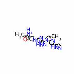 C[C@@H]1OCC2(CCN(c3cnc4c(N5CC[C@H](C)c6nc(-c7ccn[nH]7)ccc65)n[nH]c4n3)CC2)[C@@H]1N